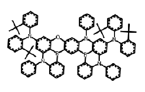 CC(C)(C)c1ccccc1N(c1cc2c3c(c1)N(c1ccccc1)c1ccccc1B3c1cc3c(cc1O2)N(c1ccccc1)c1cc(N(c2ccccc2C(C)(C)C)c2ccccc2C(C)(C)C)cc2c1B3c1ccccc1N2c1ccccc1)c1ccccc1C(C)(C)C